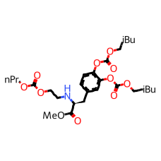 CCCOC(=O)OCCN[C@@H](Cc1ccc(OC(=O)OCC(C)CC)c(OC(=O)OCC(C)CC)c1)C(=O)OC